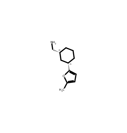 Cc1ccc([C@H]2CCC[C@@H](CN)C2)o1